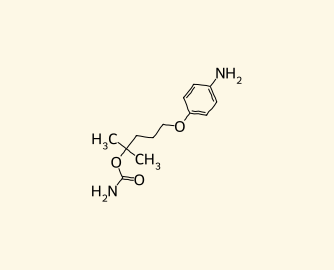 CC(C)(CCCOc1ccc(N)cc1)OC(N)=O